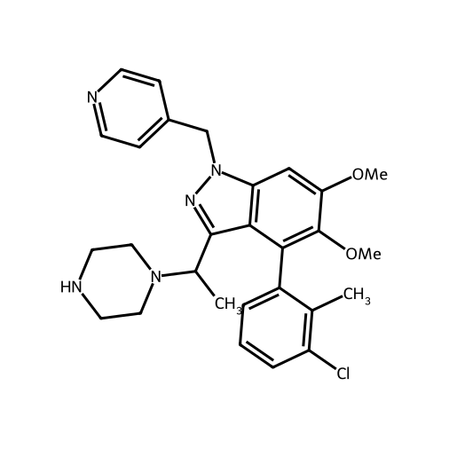 COc1cc2c(c(C(C)N3CCNCC3)nn2Cc2ccncc2)c(-c2cccc(Cl)c2C)c1OC